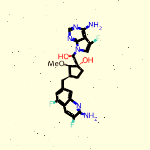 CO[C@@H]1[C@H](Cc2cc(F)c3cc(F)c(N)nc3c2)CC[C@]1(O)[C@@H](O)n1cc(F)c2c(N)ncnc21